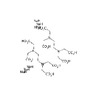 O=C(O)CN(CCN(CC(=O)O)CC(=O)O)CC(=O)O.O=C(O)CN(CCN(CC(=O)O)CC(=O)O)CC(=O)O.[NaH].[NaH].[NaH].[NaH].[NaH].[NaH]